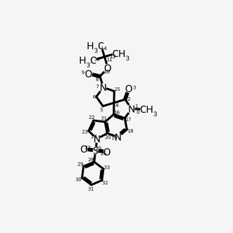 CN1C(=O)C2(CCN(C(=O)OC(C)(C)C)C2)c2c1cnc1c2ccn1S(=O)(=O)c1ccccc1